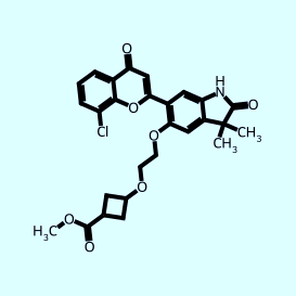 COC(=O)C1CC(OCCOc2cc3c(cc2-c2cc(=O)c4cccc(Cl)c4o2)NC(=O)C3(C)C)C1